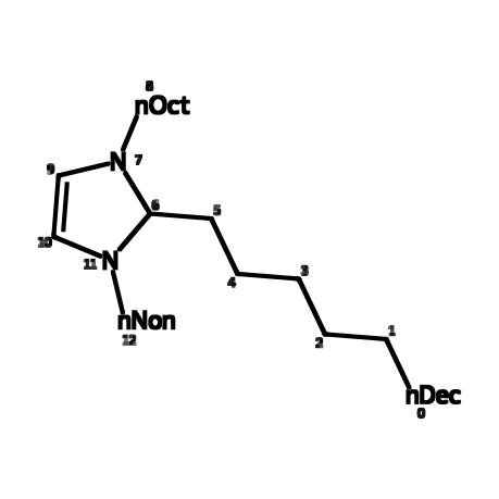 CCCCCCCCCCCCCCCC1N(CCCCCCCC)C=CN1CCCCCCCCC